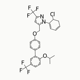 CC(C)Oc1ccc(C(F)(F)F)cc1-c1ccc(OCc2cc(C(F)(F)F)nn2C2=CC=CCC2Cl)cc1